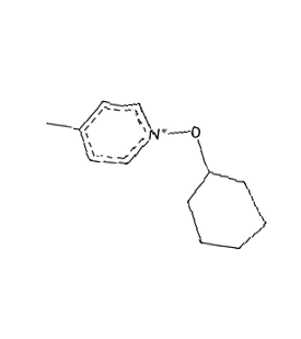 Cc1cc[n+](OC2CCCCC2)cc1